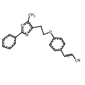 Cc1oc(-c2ccccc2)nc1CCOc1ccc(/C=C/C#N)cc1